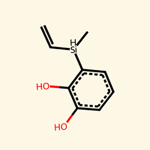 C=C[SiH](C)c1cccc(O)c1O